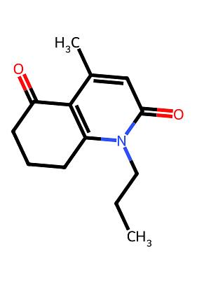 CCCn1c2c(c(C)cc1=O)C(=O)CCC2